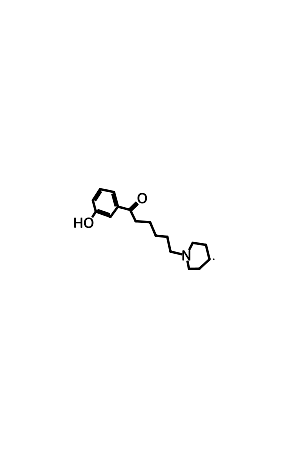 O=C(CCCCCN1CC[CH]CC1)c1cccc(O)c1